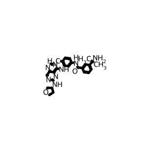 Cc1ccc(NC(=O)c2cccc(C(C)(C)N)c2)cc1Nc1ncnc2cnc(NC3CCOC3)nc12